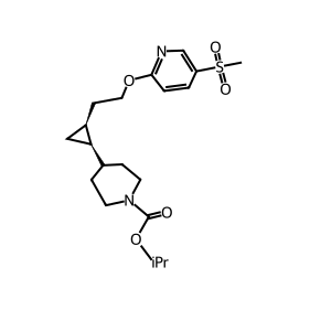 CC(C)OC(=O)N1CCC([C@H]2C[C@H]2CCOc2ccc(S(C)(=O)=O)cn2)CC1